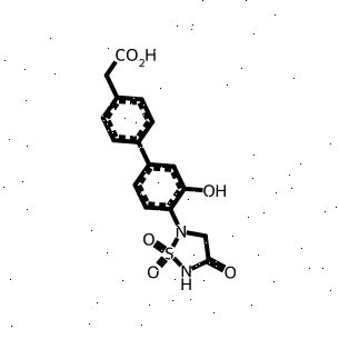 O=C(O)Cc1ccc(-c2ccc(N3CC(=O)NS3(=O)=O)c(O)c2)cc1